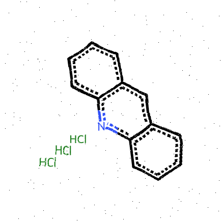 Cl.Cl.Cl.c1ccc2nc3ccccc3cc2c1